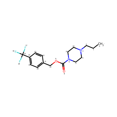 [CH2]CCN1CCN(C(=O)OCc2ccc(C(F)(F)F)cc2)CC1